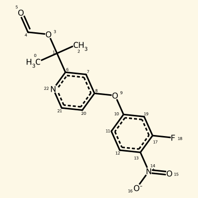 CC(C)(OC=O)c1cc(Oc2ccc([N+](=O)[O-])c(F)c2)ccn1